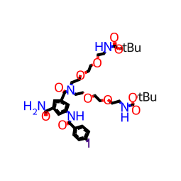 CC(C)(C)OC(=O)NCCOCCOCCN(CCOCCOCCNC(=O)OC(C)(C)C)C(=O)c1cc(NC(=O)c2ccc(I)cc2)cc(C(N)=O)c1